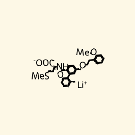 COc1ccccc1CCOCc1ccc(C(=O)N[C@@H](CCSC)C(=O)[O-])c(-c2ccccc2C)c1.[Li+]